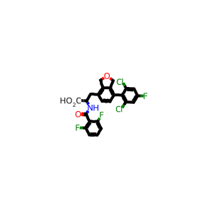 O=C(NC(Cc1ccc(-c2c(Cl)cc(F)cc2Cl)c2c1COC2)C(=O)O)c1c(F)cccc1F